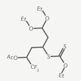 CCOC(=S)SC(CC(OCC)OCC)CC(OC(C)=O)C(F)(F)F